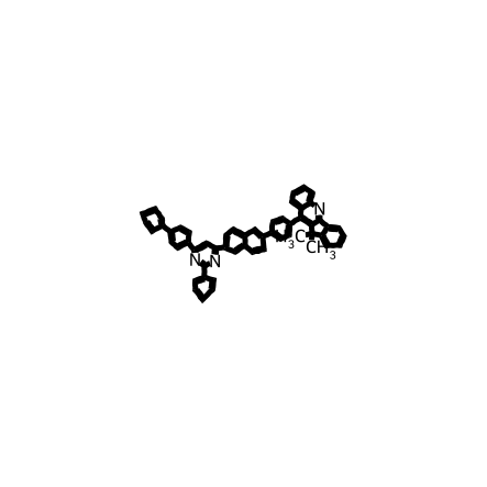 CC1(C)c2ccccc2-c2nc3ccccc3c(-c3ccc(-c4ccc5cc(-c6cc(-c7ccc(-c8ccccc8)cc7)nc(-c7ccccc7)n6)ccc5c4)cc3)c21